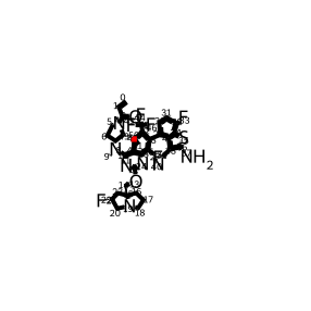 C=CC(=O)N1CC[C@@H](N(C)c2nc(OC[C@@]34CCCN3C[C@H](F)C4)nc3c(F)c(-c4ccc(F)c5sc(N)c(C#N)c45)c(C(F)(F)F)cc23)[C@H]1CC